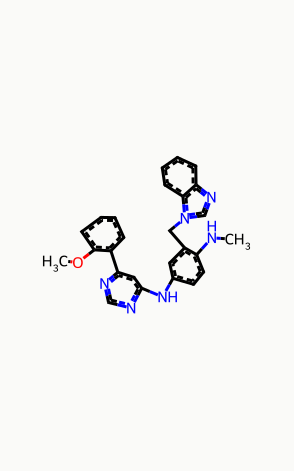 CNc1ccc(Nc2cc(-c3ccccc3OC)ncn2)cc1Cn1cnc2ccccc21